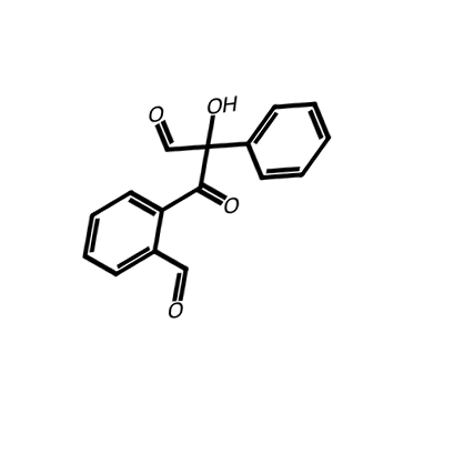 O=Cc1ccccc1C(=O)C(O)(C=O)c1ccccc1